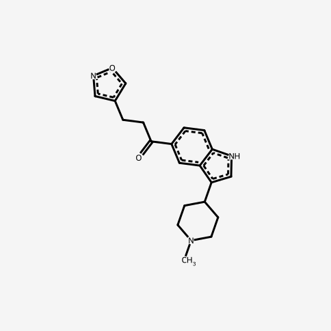 CN1CCC(c2c[nH]c3ccc(C(=O)CCc4cnoc4)cc23)CC1